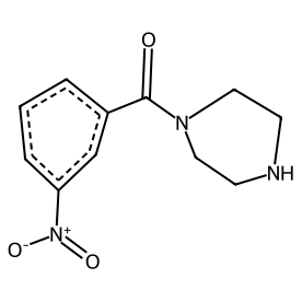 O=C(c1cccc([N+](=O)[O-])c1)N1CCNCC1